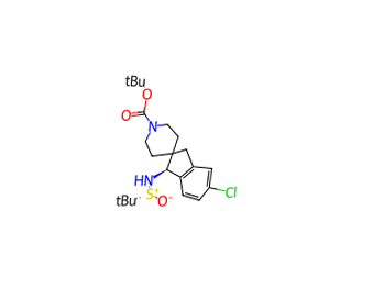 CC(C)(C)OC(=O)N1CCC2(CC1)Cc1cc(Cl)ccc1[C@H]2N[S@+]([O-])C(C)(C)C